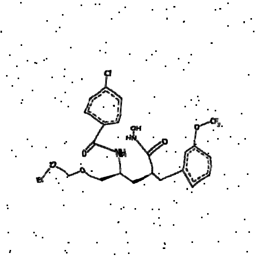 CCOCOC[C@H](C[C@H](Cc1cccc(OC(F)(F)F)c1)C(=O)NO)NC(=O)c1ccc(Cl)cc1